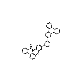 O=c1c2ccccc2c2cccc3c2n1-c1ccc(-c2cccc(-c4ccc5c6ccccc6c6ccccc6c5c4)c2)cc1S3